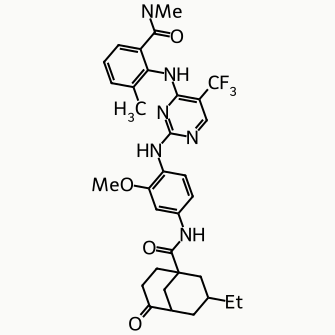 CCC1CC2CC(C(=O)Nc3ccc(Nc4ncc(C(F)(F)F)c(Nc5c(C)cccc5C(=O)NC)n4)c(OC)c3)(CCC2=O)C1